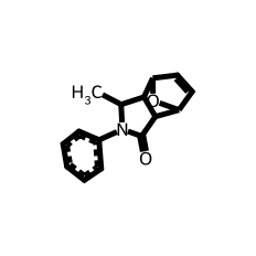 CC1C2C3C=CC(O3)C2C(=O)N1c1ccccc1